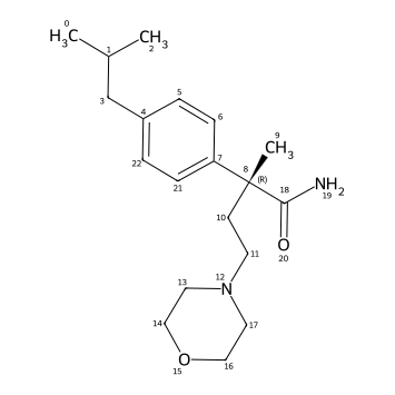 CC(C)Cc1ccc([C@@](C)(CCN2CCOCC2)C(N)=O)cc1